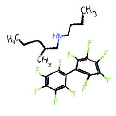 CCCCNCC(C)CCC.Fc1c(F)c(F)c(-c2c(F)c(F)c(F)c(F)c2F)c(F)c1F